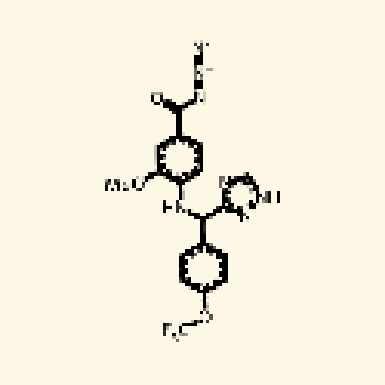 COc1cc(C(=O)N=[N+]=[N-])ccc1NC(c1ccc(OC(F)(F)F)cc1)c1nc[nH]n1